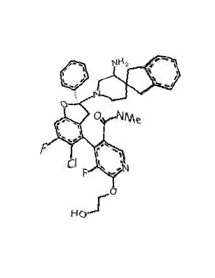 CNC(=O)c1cnc(OCCO)c(F)c1-c1c(Cl)c(F)cc2c1C[C@](c1ccccc1)(N1CCC3(Cc4ccccc4C3)C(N)C1)O2